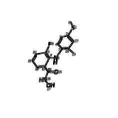 CSc1ccc(Nc2c(F)cccc2C(=O)NO)c(C)c1